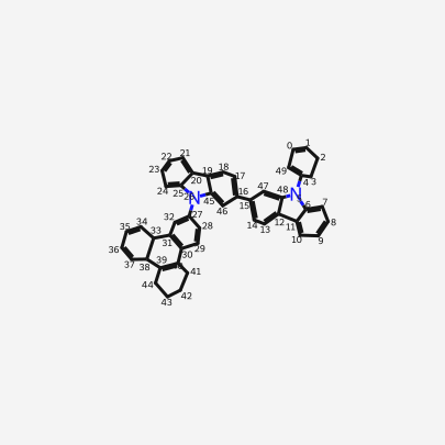 C1=CCCC(n2c3ccccc3c3ccc(-c4ccc5c6ccccc6n(-c6ccc7c(c6)C6C=CC=CC6C6=C7CCCC6)c5c4)cc32)=C1